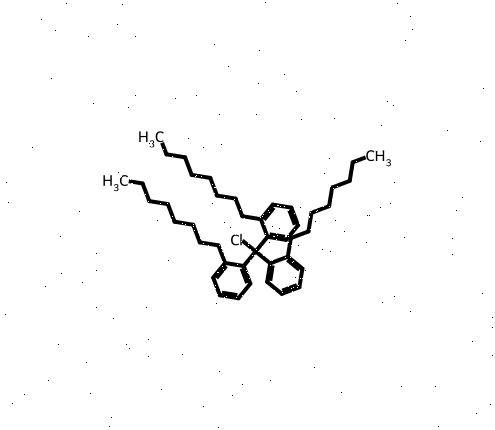 CCCCCCCCc1ccccc1C(Cl)(c1ccccc1CCCCCCCC)c1ccccc1CCCCCCCC